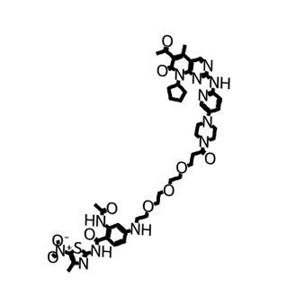 CC(=O)Nc1cc(NCCOCCOCCOCCC(=O)N2CCN(c3ccc(Nc4ncc5c(C)c(C(C)=O)c(=O)n(C6CCCC6)c5n4)nc3)CC2)ccc1C(=O)Nc1nc(C)c([N+](=O)[O-])s1